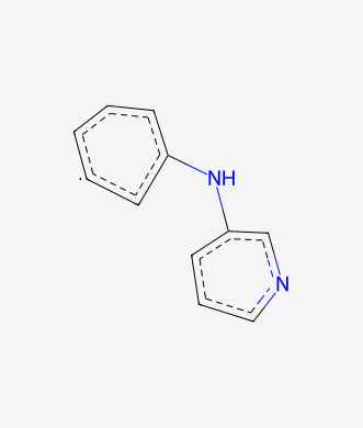 [c]1cccc(Nc2cccnc2)c1